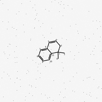 CC1(C)[CH]C=Cc2ccccc21